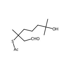 CC(=O)SC(C)(CC=O)CCCC(C)(C)O